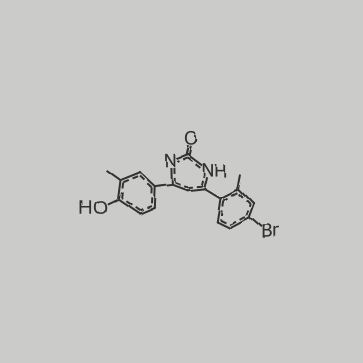 Cc1cc(-c2cc(-c3ccc(Br)cc3C)[nH]c(=O)n2)ccc1O